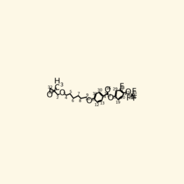 CC1(COCCCCCCOc2ccc(C(=O)Oc3ccc(OC(F)(F)F)c(F)c3)cc2)CO1